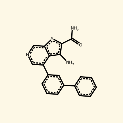 NC(=O)c1sc2cncc(-c3cccc(-c4ccccc4)c3)c2c1N